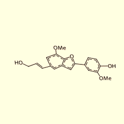 COc1cc(-c2cc3cc(C=CCO)cc(OC)c3o2)ccc1O